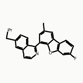 Cc1cc(-c2nccc3cc(CC(C)C)ccc23)c2oc3cc(F)ccc3c2c1